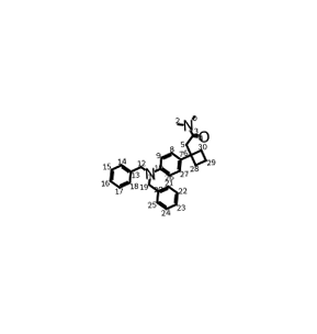 CN(C)C(=O)CC1(c2ccc(N(Cc3ccccc3)Cc3ccccc3)cc2)CCC1